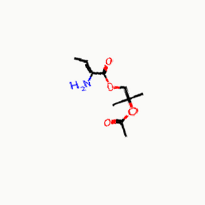 C/C=C(\N)C(=O)OCC(C)(C)OC(C)=O